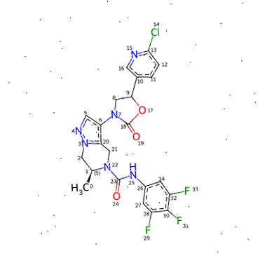 C[C@H]1Cn2ncc(N3CC(c4ccc(Cl)nc4)OC3=O)c2CN1C(=O)Nc1cc(F)c(F)c(F)c1